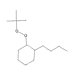 CCCCC1CCCCC1OOC(C)(C)C